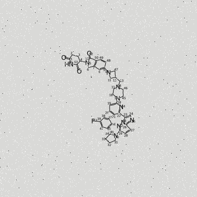 O=C1CCC(N2Cc3cc(N4CC(CN5CCN(c6cccc(-c7cnc8ccc(N9CCC[C@@H]9c9cccc(F)c9)nn78)n6)CC5)C4)ccc3C2=O)C(=O)N1